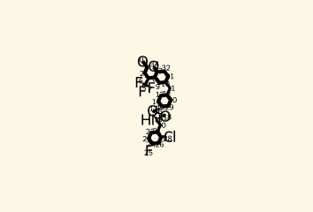 O=c1cc(C(F)(F)F)c2cc(Cc3ccc(S(=O)(=O)NCc4ccc(F)cc4Cl)cc3)ccc2o1